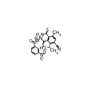 Cc1cc(C#N)c(C(C)C)c(C(N)=S)c1C(N)=S.O=[N+]([O-])c1cccc([N+](=O)[O-])c1